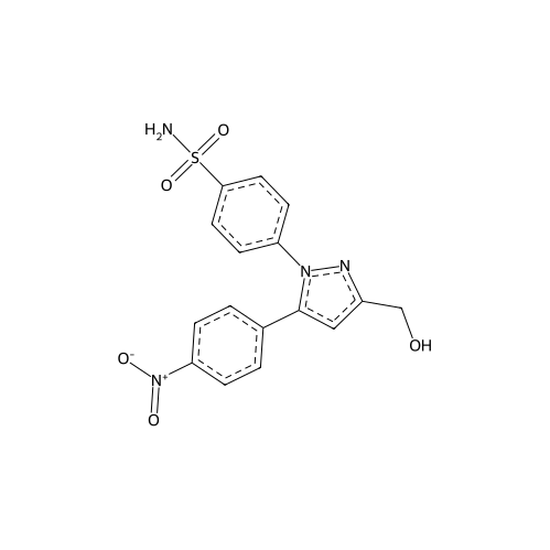 NS(=O)(=O)c1ccc(-n2nc(CO)cc2-c2ccc([N+](=O)[O-])cc2)cc1